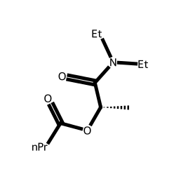 CCCC(=O)O[C@@H](C)C(=O)N(CC)CC